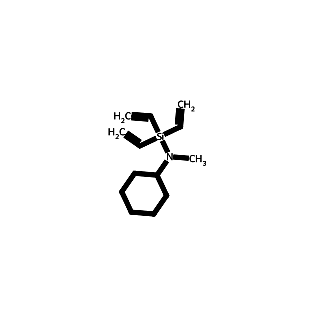 C=C[Si](C=C)(C=C)N(C)C1CCCCC1